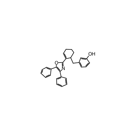 Oc1cccc(CC2CCCC=C2c2nc(-c3ccccc3)c(-c3ccccc3)o2)c1